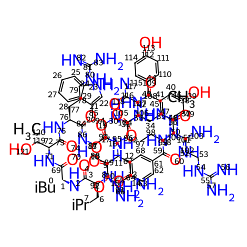 CC[C@H](C)[C@H](NC(=O)[C@H](CC(C)C)NC(=O)[C@H](CC(N)=O)NC(=O)[C@H](Cc1c[nH]c2ccccc12)NC(=O)[C@H](Cc1ccc(O)cc1)NC(=O)[C@H](C)NC(=O)[C@H](CCCNC(=N)N)NC(=O)c1ccc(CN)cc1)C(=O)N[C@H](C(=O)N[C@@H](CCCNC(=N)N)C(=O)N[C@@H](CCC(N)=O)C(=O)N[C@@H](CCCNC(=N)N)C(=O)N[C@@H](Cc1ccc(O)cc1)C(N)=O)[C@@H](C)O